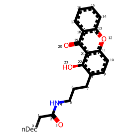 CCCCCCCCCCCC(=O)NCCCc1ccc2oc3ccccc3c(=O)c2c1O